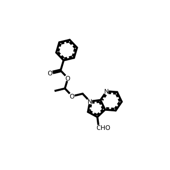 CC(OCn1cc(C=O)c2cccnc21)OC(=O)c1ccccc1